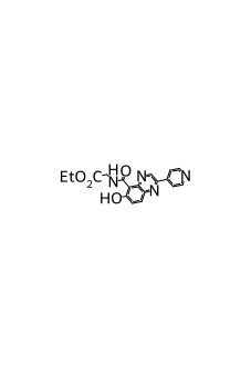 CCOC(=O)CNC(=O)c1c(O)ccc2nc(-c3ccncc3)cnc12